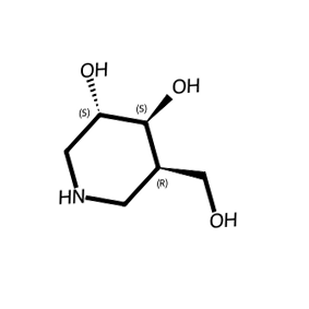 OC[C@H]1CNC[C@H](O)[C@H]1O